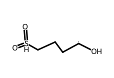 O=[SH](=O)CCC[CH]O